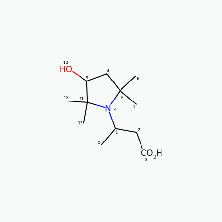 CC(CC(=O)O)N1C(C)(C)CC(O)C1(C)C